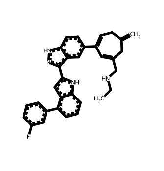 C=C1CC=C(c2ccc3[nH]nc(-c4cc5c(-c6cccc(F)c6)cccc5[nH]4)c3c2)C=C(CNCC)C1